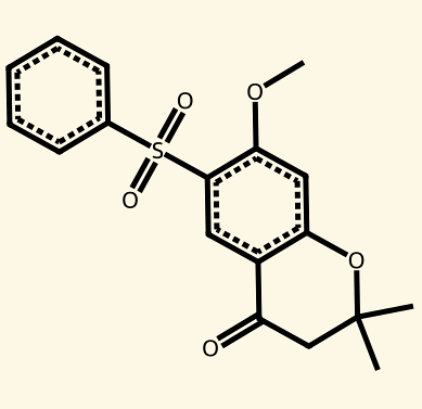 COc1cc2c(cc1S(=O)(=O)c1ccccc1)C(=O)CC(C)(C)O2